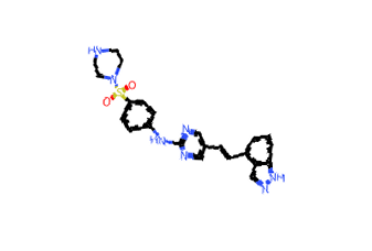 O=S(=O)(c1ccc(Nc2ncc(C=Cc3cccc4[nH]ncc34)cn2)cc1)N1CCNCC1